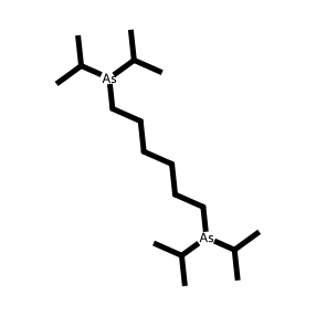 CC(C)[As](CCCCCC[As](C(C)C)C(C)C)C(C)C